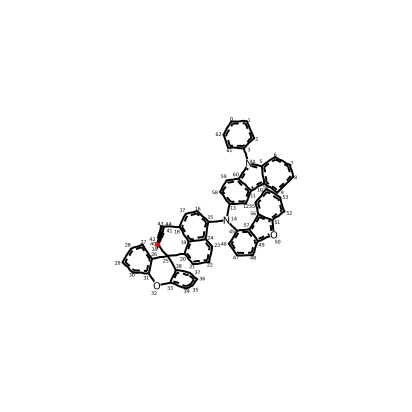 c1ccc(-n2c3ccccc3c3cc(N(c4ccc5c6c(cccc46)C4(c6ccccc6Oc6ccccc64)c4ccccc4-5)c4cccc5oc6ccccc6c45)ccc32)cc1